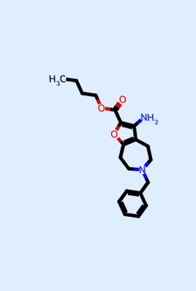 CCCCOC(=O)c1oc2c(c1N)CCN(Cc1ccccc1)CC2